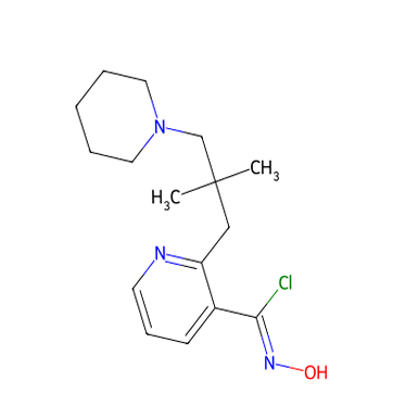 CC(C)(Cc1ncccc1C(Cl)=NO)CN1CCCCC1